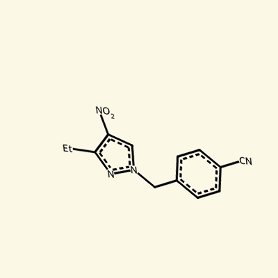 CCc1nn(Cc2ccc(C#N)cc2)cc1[N+](=O)[O-]